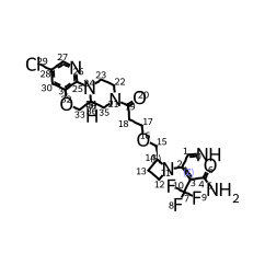 N=C/C(=C(\C(N)=O)C(F)(F)F)N1CC[C@H]1COCCC(=O)N1CCN2c3ncc(Cl)cc3OC[C@@H]2C1